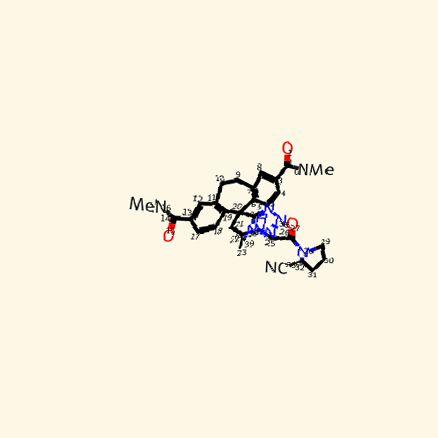 CNC(=O)c1ccc2c(c1)CCc1cc(C(=O)NC)ccc1C2(C[C@H](C)NCC(=O)N1CCC[C@H]1C#N)c1nnnn1C